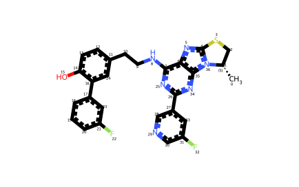 C[C@H]1CSc2nc3c(NCCc4ccc(O)c(-c5cccc(F)c5)c4)nc(-c4cncc(F)c4)nc3n21